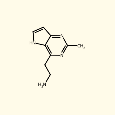 Cc1nc(CCN)c2[nH]ccc2n1